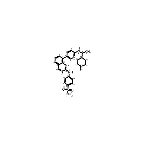 CC(Nc1ccc(-c2cccc3cnc(Nc4ccc(S(N)(=O)=O)cc4)nc23)cn1)C1CCNCC1